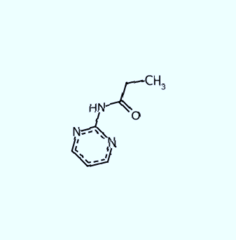 CCC(=O)Nc1ncccn1